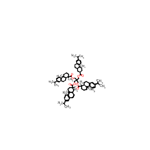 CC(C)c1ccc2c(c1)CCC1CC(C(=O)OCC(COC(=O)C3(C)CCC4(C)c5ccc(C(C)C)cc5CCC4C3)(COC(=O)C3(C)CCCC4(C)c5ccc(C(C)C)cc5CCC34)COC(=O)C3(C)CCCC4(C)c5ccc(C(C)C)cc5CCC34)CCC21C